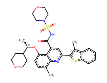 Cc1c(-c2cc(C(=O)NS(=O)(=O)N3CCOCC3)c3c(O[C@H](C)C4CCOCC4)ccc(C)c3n2)sc2ccccc12